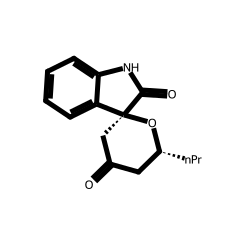 CCC[C@@H]1CC(=O)C[C@@]2(O1)C(=O)Nc1ccccc12